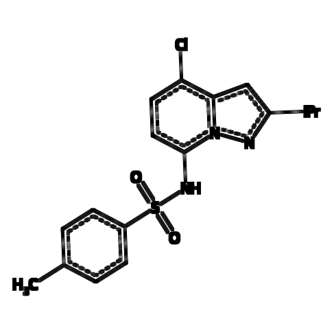 Cc1ccc(S(=O)(=O)Nc2ccc(Cl)c3cc(C(C)C)nn23)cc1